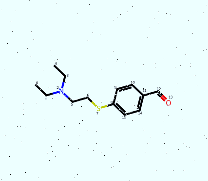 CCN(CC)CCSc1ccc(C=O)cc1